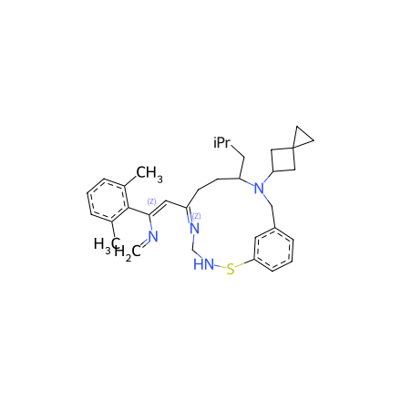 C=N/C(=C\C1=N/CNSc2cccc(c2)CN(C2CC3(CC3)C2)C(CC(C)C)CC1)c1c(C)cccc1C